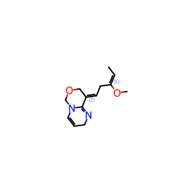 C/C=C(\C/C=C1\COCN2C=CCN=C12)OC